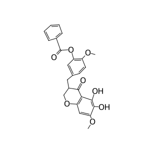 COc1ccc(CC2COc3cc(OC)c(O)c(O)c3C2=O)cc1OC(=O)c1ccccc1